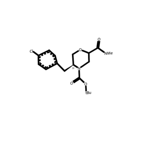 CNC(=O)C1CN(C(=O)OC(C)(C)C)[C@@H](Cc2ccc(Cl)cc2)CO1